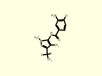 Cn1nc(C(F)(F)C(F)(F)F)c(C(F)(F)F)c1NC(=O)c1ccc(Cl)c(N)c1